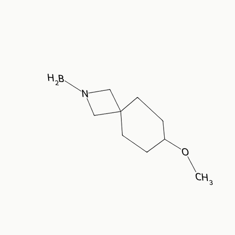 BN1CC2(CCC(OC)CC2)C1